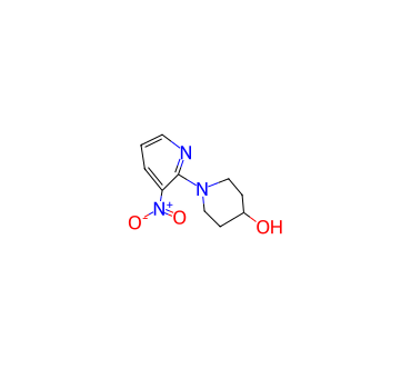 O=[N+]([O-])c1cccnc1N1CCC(O)CC1